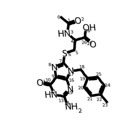 CC(=O)NC(CSc1nc2c(=O)[nH]c(N)nc2n1Cc1ccc(C)cc1)C(=O)O